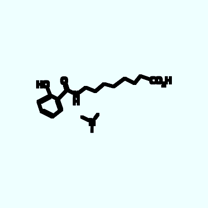 CN(C)C.O=C(O)CCCCCCCNC(=O)c1ccccc1O